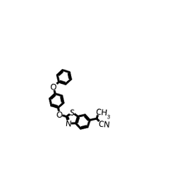 CC(C#N)c1ccc2nc(Oc3ccc(Oc4ccccc4)cc3)sc2c1